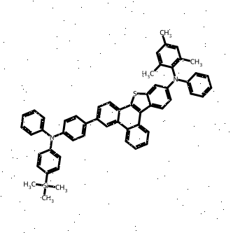 Cc1cc(C)c(N(c2ccccc2)c2ccc3c(c2)sc2c4ccc(-c5ccc(N(c6ccccc6)c6ccc([Si](C)(C)C)cc6)cc5)cc4c4ccccc4c32)c(C)c1